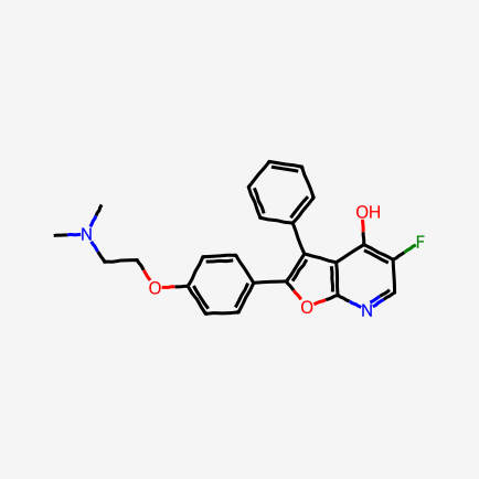 CN(C)CCOc1ccc(-c2oc3ncc(F)c(O)c3c2-c2ccccc2)cc1